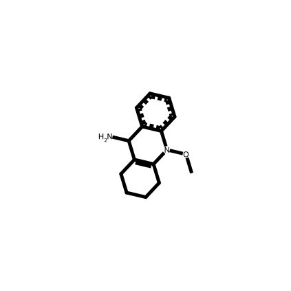 CON1C2=C(CCCC2)C(N)c2ccccc21